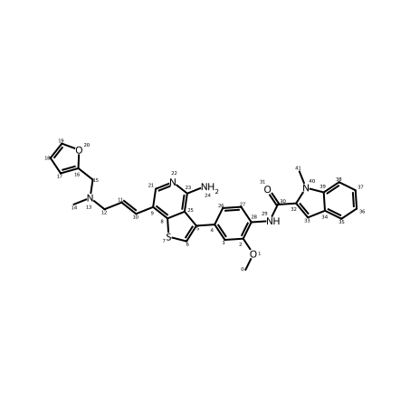 COc1cc(-c2csc3c(/C=C/CN(C)Cc4ccco4)cnc(N)c23)ccc1NC(=O)c1cc2ccccc2n1C